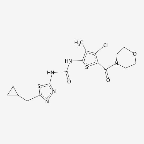 Cc1c(NC(=O)Nc2nnc(CC3CC3)s2)sc(C(=O)N2CCOCC2)c1Cl